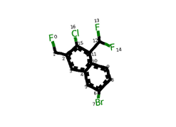 FCc1cc2cc(Br)ccc2c(C(F)F)c1Cl